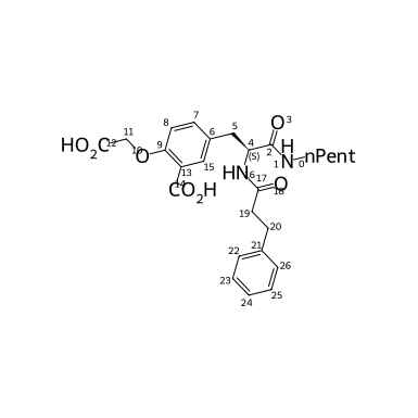 CCCCCNC(=O)[C@H](Cc1ccc(OCC(=O)O)c(C(=O)O)c1)NC(=O)CCc1ccccc1